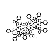 CC(=O)OC1C(OC(=N)C(Cl)(Cl)Cl)OC(COC2OC(COC(=O)c3ccccc3)C(OC(=O)c3ccccc3)C(OC(=O)c3ccccc3)C2OC(=O)c2ccccc2)[C@@H](OC(C)=O)C1OC1OC(COC(=O)c2ccccc2)C(OC(=O)c2ccccc2)C(OC(=O)c2ccccc2)C1OC(=O)c1ccccc1